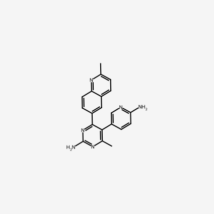 Cc1ccc2cc(-c3nc(N)nc(C)c3-c3ccc(N)nc3)ccc2n1